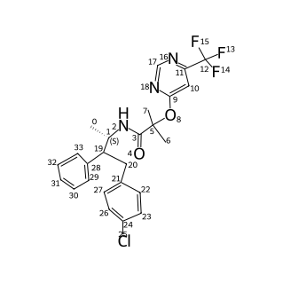 C[C@H](NC(=O)C(C)(C)Oc1cc(C(F)(F)F)ncn1)C(Cc1ccc(Cl)cc1)c1ccccc1